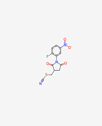 N#CSCC1CC(=O)N(c2cc([N+](=O)[O-])ccc2F)C1=O